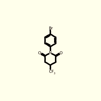 O=C1CC(C(F)(F)F)CC(=O)N1c1ccc(Br)cc1